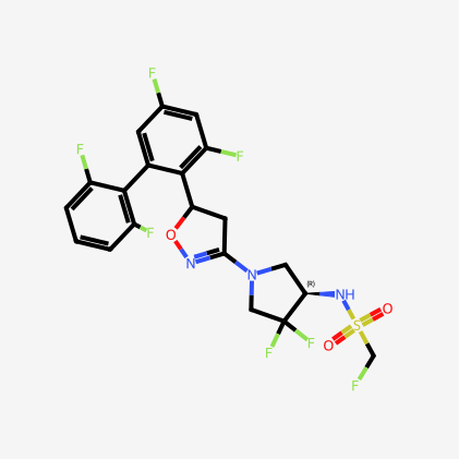 O=S(=O)(CF)N[C@@H]1CN(C2=NOC(c3c(F)cc(F)cc3-c3c(F)cccc3F)C2)CC1(F)F